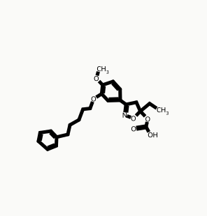 CCC1(OC(=O)O)CC(c2ccc(OC)c(OCCCCCc3ccccc3)c2)=NO1